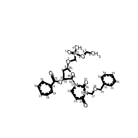 CCOP(C)(=O)CO[C@@H]1C[C@H](OC(=O)c2ccccc2)[C@H](n2ccc(=O)n(COCc3ccccc3)c2=O)O1